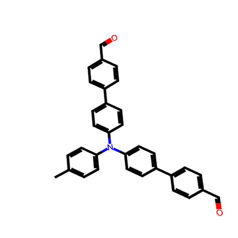 Cc1ccc(N(c2ccc(-c3ccc(C=O)cc3)cc2)c2ccc(-c3ccc(C=O)cc3)cc2)cc1